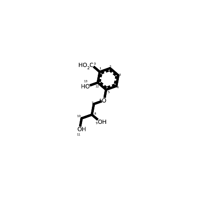 O=C(O)c1cccc(OCC(O)CO)c1O